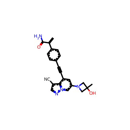 C=C(C(N)=O)c1ccc(C#Cc2cc(N3CC(C)(O)C3)cn3ncc(C#N)c23)cc1